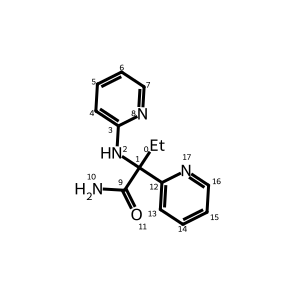 CCC(Nc1ccccn1)(C(N)=O)c1ccccn1